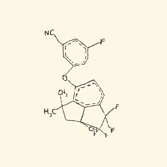 CC1(C)CC2(O)c3c(ccc(Oc4cc(F)cc(C#N)c4)c31)C(F)(F)C2(F)F